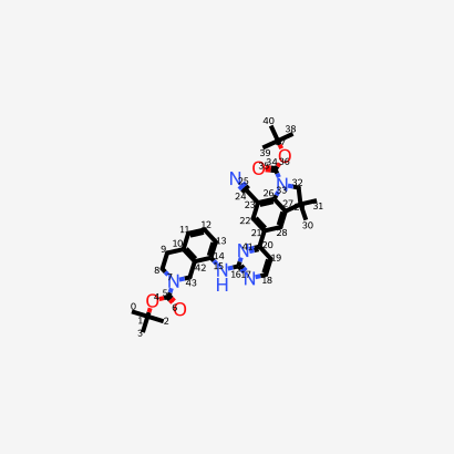 CC(C)(C)OC(=O)N1CCc2cccc(Nc3nccc(-c4cc(C#N)c5c(c4)C(C)(C)CN5C(=O)OC(C)(C)C)n3)c2C1